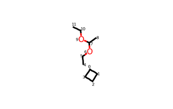 C1CCC1.CCOC(C)OCC